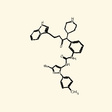 Cc1ccc(-n2nc(C(C)(C)C)cc2NC(=O)Nc2cccc(C(C(=O)CCc3c[nH]c4ccccc34)C3CCNCC3)c2)cc1